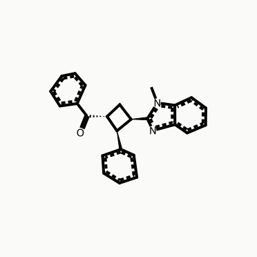 Cn1c([C@@H]2C[C@@H](C(=O)c3ccccc3)[C@@H]2c2ccccc2)nc2ccccc21